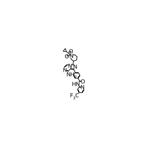 Nc1nccn2c(C3CCCN(S(=O)(=O)C4CC4)C3)nc(-c3ccc(C(=O)Nc4cc(C(F)(F)F)ccn4)cc3)c12